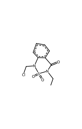 CCN1C(=O)c2ccccc2N(CCl)S1(=O)=O